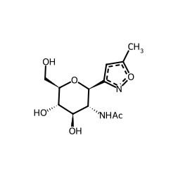 CC(=O)N[C@@H]1[C@@H](O)[C@H](O)[C@@H](CO)O[C@H]1c1cc(C)on1